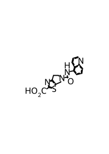 O=C(O)c1nc2c(s1)CN(C(=O)Nc1cccc3ncccc13)CC2